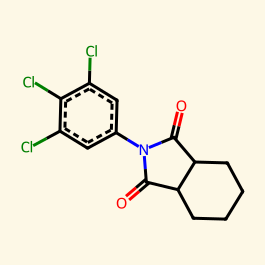 O=C1C2CCCCC2C(=O)N1c1cc(Cl)c(Cl)c(Cl)c1